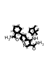 CC1CC[C@@H](Nc2c(C(N)=O)cnn3cc(-c4ccccc4C(N)=O)cc23)C1(C)C